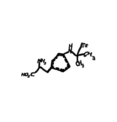 CCC(C)(C)Nc1ccc(CC(N)C(=O)O)cc1